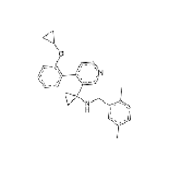 Cc1ccc(C)c(CNC2(c3cnccc3-c3ccccc3OC3CC3)CC2)c1